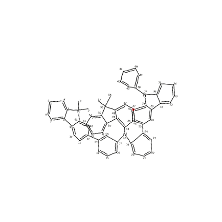 CC1(C)c2ccccc2-c2ccc(-c3cccc(N(c4ccccc4-c4ccc5c(c4)c4ccccc4n5-c4ccccc4)c4cccc5c4-c4ccccc4C5(C)C)c3)cc21